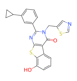 O=c1c2c(nc(-c3cccc(C4CC4)c3)n1Cc1cncs1)sc1c(O)cccc12